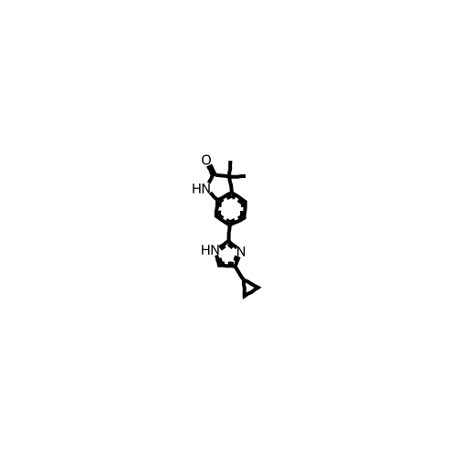 CC1(C)C(=O)Nc2cc(-c3nc(C4CC4)c[nH]3)ccc21